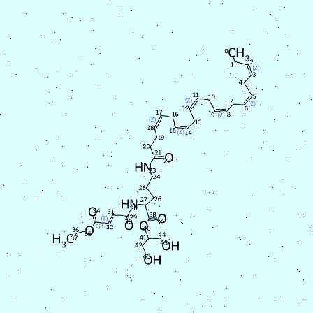 CC/C=C\C/C=C\C/C=C\C/C=C\C/C=C\C/C=C\CCC(=O)NCCCC(NC(=O)/C=C/C(=O)OCC)C(=O)OC(CO)CO